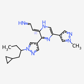 CCC(CC1CC1)n1cc(C2=NC(c3cnn(C)c3)=CN/C2=C\C=N)cn1